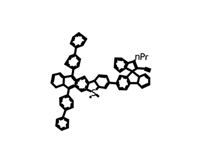 C#CC1=C(CCC)c2ccccc2C12c1cc(C3=CC4C(C=C3)c3cc5c(cc3S4(C)C)=C(c3ccc(-c4ccccc4)cc3)C3CC=CC=C3C=5c3ccc(-c4ccccc4)cc3)ccc1C1C=CC=CC12